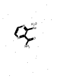 NC(=O)c1nccn[c]1[Na].O